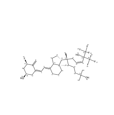 C=C1/C(=C\C=C2CCC[C@@]3(C)C2CC[C@@H]3[C@](C)(C/C=C\C(O)(C(F)(F)F)C(F)(F)F)CCCC(C)(C)O)C[C@@H](O)C[C@H]1F